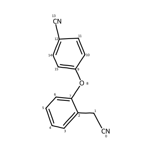 N#CCc1ccccc1Oc1ccc(C#N)cc1